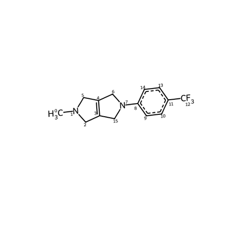 CN1CC2=C(C1)CN(c1ccc(C(F)(F)F)cc1)C2